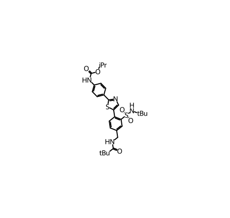 CC(C)OC(=O)Nc1ccc(-c2ncc(-c3ccc(CNC(=O)C(C)(C)C)cc3S(=O)(=O)NC(C)(C)C)s2)cc1